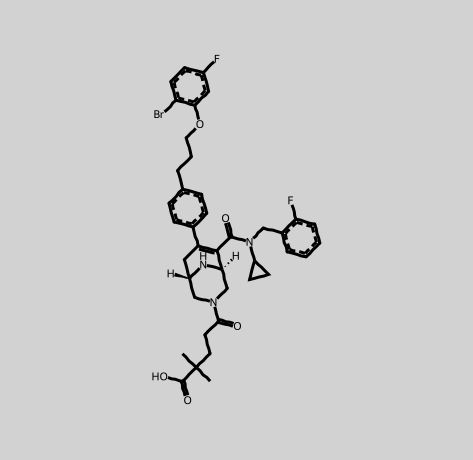 CC(C)(CCC(=O)N1C[C@@H]2CC(c3ccc(CCCOc4cc(F)ccc4Br)cc3)=C(C(=O)N(Cc3ccccc3F)C3CC3)[C@@H](C1)N2)C(=O)O